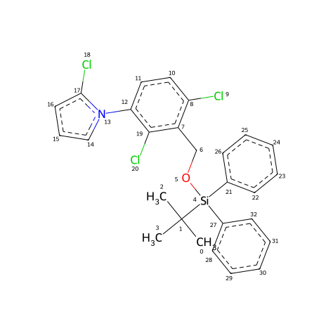 CC(C)(C)[Si](OCc1c(Cl)ccc(-n2cccc2Cl)c1Cl)(c1ccccc1)c1ccccc1